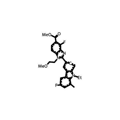 CCn1c2ccc(-c3nc4c(F)c(C(=O)OC)ccc4n3CCOC)cc2c2cc(F)cc(C)c21